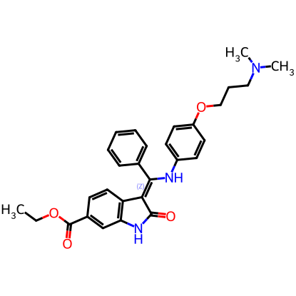 CCOC(=O)c1ccc2c(c1)NC(=O)/C2=C(\Nc1ccc(OCCCN(C)C)cc1)c1ccccc1